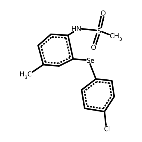 Cc1ccc(NS(C)(=O)=O)c([Se]c2ccc(Cl)cc2)c1